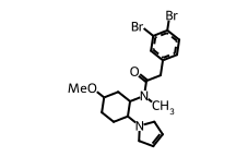 COC1CCC(N2CC=CC2)C(N(C)C(=O)Cc2ccc(Br)c(Br)c2)C1